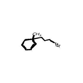 CC1(CCCBr)C=CC=CC1